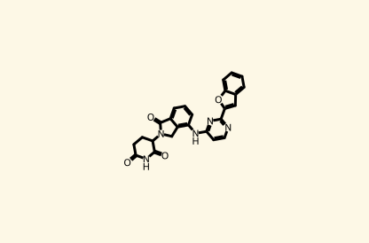 O=C1CCC(N2Cc3c(Nc4ccnc(-c5cc6ccccc6o5)n4)cccc3C2=O)C(=O)N1